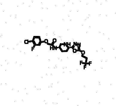 O=C(COc1ccc(Cl)c(F)c1)N[C@@H]1CC[C@@H](c2nnc(OCCC(F)(F)F)o2)NC1